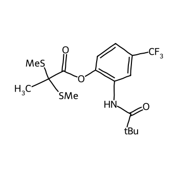 CSC(C)(SC)C(=O)Oc1ccc(C(F)(F)F)cc1NC(=O)C(C)(C)C